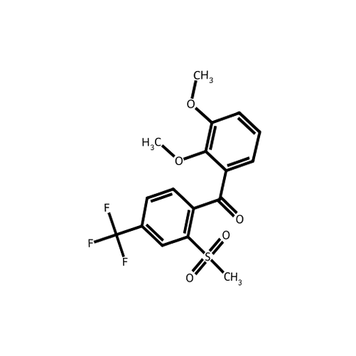 COc1cccc(C(=O)c2ccc(C(F)(F)F)cc2S(C)(=O)=O)c1OC